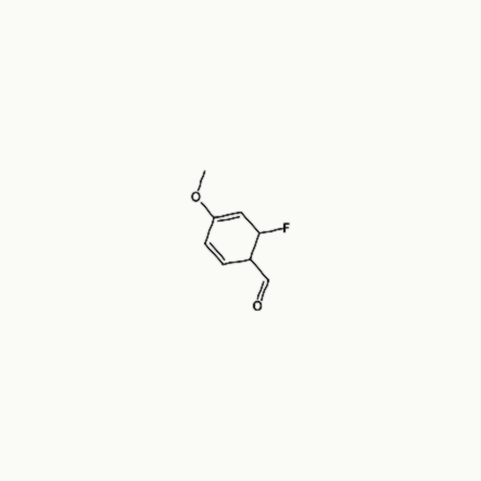 COC1=CC(F)C(C=O)C=C1